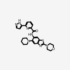 O=C(Nc1cc2sc(N3CCOCC3)nc2cc1N1CCCCC1)c1cccc(-c2ccn[nH]2)n1